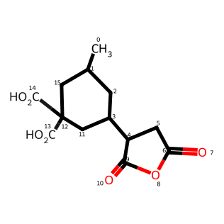 CC1CC(C2CC(=O)OC2=O)CC(C(=O)O)(C(=O)O)C1